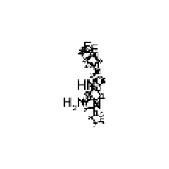 Nc1cc(C2CCCC2)nc2ccc(NC(=O)/C=C/c3ccc(C(F)(F)F)cc3)cc12